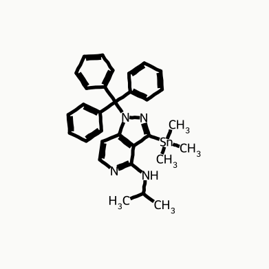 CC(C)Nc1nccc2c1[c]([Sn]([CH3])([CH3])[CH3])nn2C(c1ccccc1)(c1ccccc1)c1ccccc1